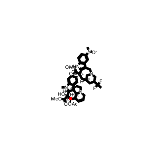 CC[C@]12C=CCN3CC[C@@]4(C5=CC([C@@]6(C(=O)OC)C[C@H]7CC(C(C)(F)F)CN(Cc8c6[nH]c6ccc([S+](C)[O-])cc86)C7)C(OC)C=C5N(C)[C@H]4[C@@](O)(C(=O)OC)[C@@H]1OC(C)=O)[C@@H]32